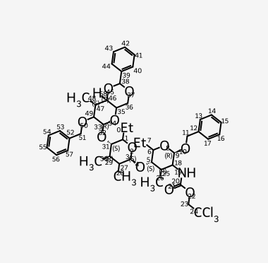 CCC1O[C@@H](O[C@@H]2C(CC)O[C@@H](OCc3ccccc3)C(NC(=O)OCC(Cl)(Cl)Cl)[C@H]2C)C(C)[C@@H](C)[C@@H]1O[C@@H]1OC2COC(c3ccccc3)O[C@H]2[C@H](C)C1OCc1ccccc1